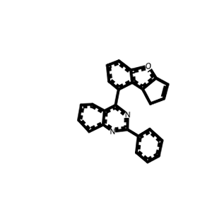 C1=Cc2oc3cccc(-c4nc(-c5ccccc5)nc5ccccc45)c3c2C1